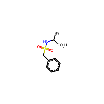 CC(C)[C](NS(=O)(=O)Cc1ccccc1)C(=O)O